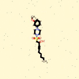 CCCCCC#C[C](O)CS(=O)(=O)N1CCN(c2cccc(OC)c2)CC1